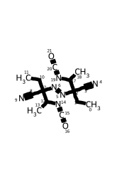 CCC(C#N)(/N=N/C(C#N)(CC)C(C)N=C=O)C(C)N=C=O